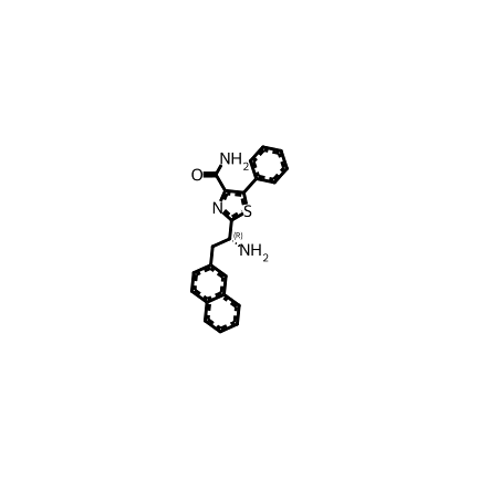 NC(=O)c1nc([C@H](N)Cc2ccc3ccccc3c2)sc1-c1ccccc1